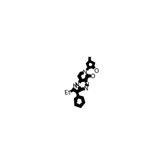 CCc1nn2c(nnc3c(=O)n(C4CC(C)CC4=O)ccc32)c1-c1ccccc1